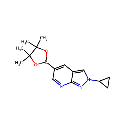 CC1(C)OB(c2cnc3nn(C4CC4)cc3c2)OC1(C)C